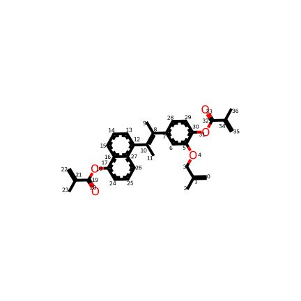 C=C(C)COc1cc(/C(C)=C(\C)c2cccc3c(OC(=O)C(=C)C)cccc23)ccc1OC(=O)C(=C)C